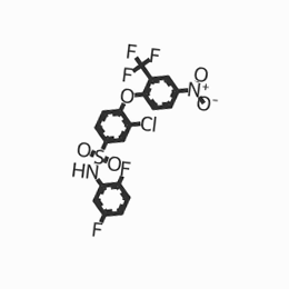 O=[N+]([O-])c1ccc(Oc2ccc(S(=O)(=O)Nc3cc(F)ccc3F)cc2Cl)c(C(F)(F)F)c1